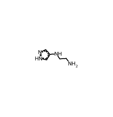 NCCNc1cn[nH]c1